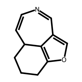 C1=CC2CCCc3occ(c32)C=N1